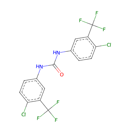 O=C(Nc1ccc(Cl)c(C(F)(F)F)c1)Nc1ccc(Cl)c(C(F)(F)F)c1